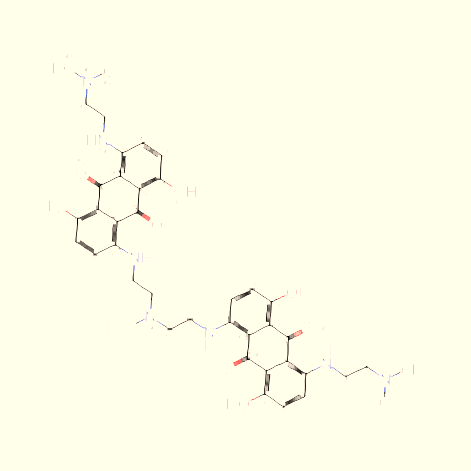 CN(C)CCNc1ccc(O)c2c1C(=O)c1c(O)ccc(NCCN(C)CCNc3ccc(O)c4c3C(=O)c3c(O)ccc(NCCN(C)C)c3C4=O)c1C2=O